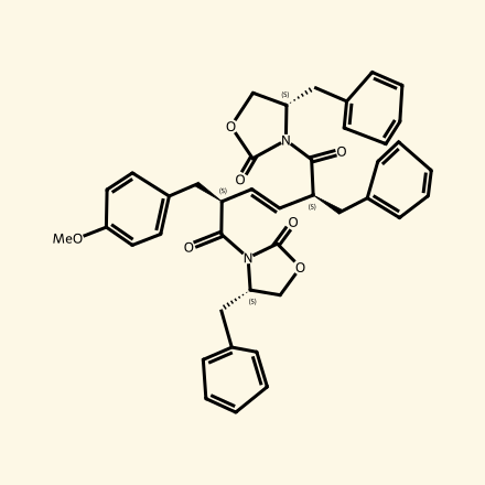 COc1ccc(C[C@@H](C=C[C@H](Cc2ccccc2)C(=O)N2C(=O)OC[C@@H]2Cc2ccccc2)C(=O)N2C(=O)OC[C@@H]2Cc2ccccc2)cc1